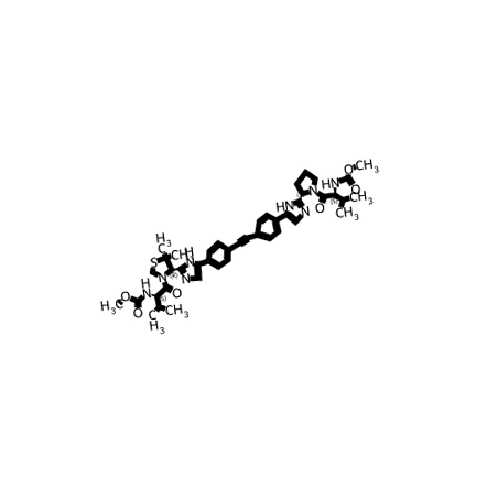 COC(=O)N[C@H](C(=O)N1CCC[C@H]1c1ncc(-c2ccc(C#Cc3ccc(-c4cnc([C@H]5N(C(=O)[C@@H](NC(=O)OC)C(C)C)CSC5(C)C)[nH]4)cc3)cc2)[nH]1)C(C)C